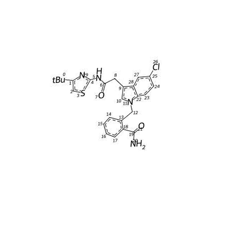 CC(C)(C)c1csc(NC(=O)Cc2cn(Cc3ccccc3C(N)=O)c3ccc(Cl)cc23)n1